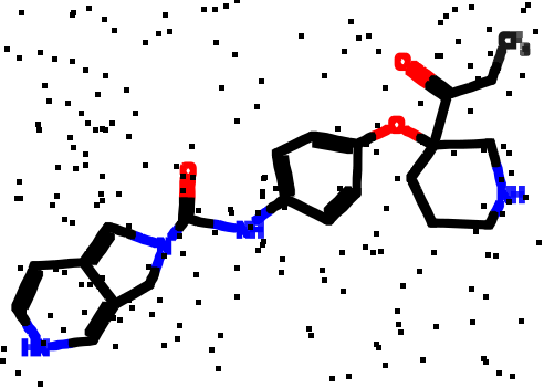 O=C(Nc1ccc(OC2(C(=O)CC(F)(F)F)CCCNC2)cc1)N1C=C2C=CNC=C2C1